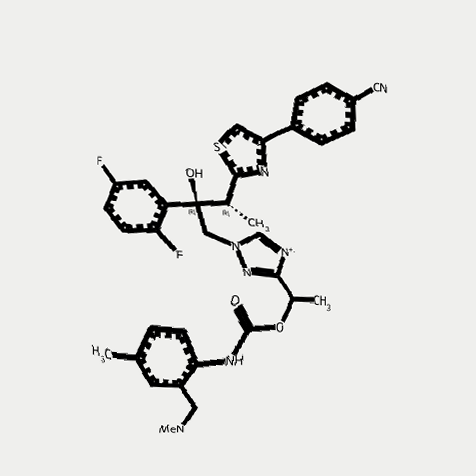 CNCc1cc(C)ccc1NC(=O)OC(C)C1=NN(C[C@](O)(c2cc(F)ccc2F)[C@@H](C)c2nc(-c3ccc(C#N)cc3)cs2)C=[N+]1